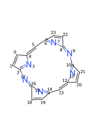 C1=CC2=NC1=CC1=NC(=NC3=NC(=CC4=NC(=N2)C=C4)C=C3)C=C1